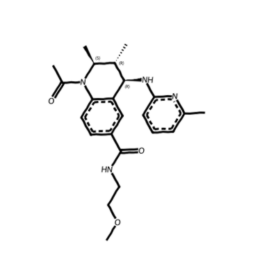 COCCNC(=O)c1ccc2c(c1)[C@H](Nc1cccc(C)n1)[C@@H](C)[C@H](C)N2C(C)=O